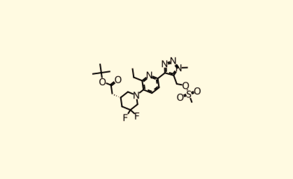 CCc1nc(-c2nnn(C)c2COS(C)(=O)=O)ccc1N1C[C@@H](CC(=O)OC(C)(C)C)CC(F)(F)C1